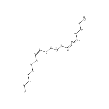 CCCCCCC/C=C\CCOCC=C=CCCCCl